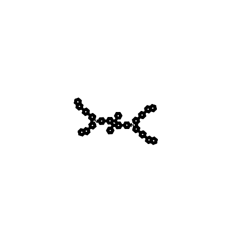 c1ccc(-c2c3ccc(-c4ccc(-n5c6ccc(-c7ccc(-c8ccc9ccccc9c8)cc7)cc6c6cc(-c7ccc8ccccc8c7)ccc65)cc4)cc3c(-c3ccccc3)c3ccc(-c4ccc(-n5c6ccc(-c7ccc(-c8ccc9ccccc9c8)cc7)cc6c6cc(-c7ccc(-c8ccc9ccccc9c8)cc7)ccc65)cc4)cc23)cc1